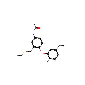 CCOC(=O)Cc1ccc(OC)c(Oc2ccc(NC(=O)C(C)C)cc2CSCC(F)(F)F)c1